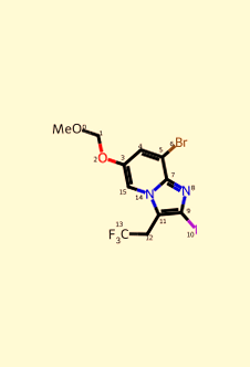 COCOc1cc(Br)c2nc(I)c(CC(F)(F)F)n2c1